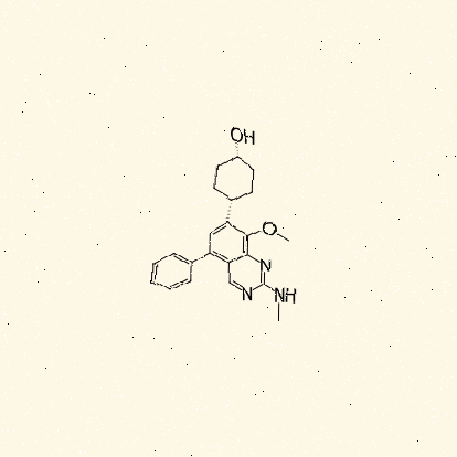 CNc1ncc2c(-c3ccccc3)cc([C@H]3CC[C@@H](O)CC3)c(OC)c2n1